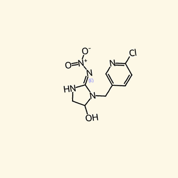 O=[N+]([O-])/N=C1\NCC(O)N1Cc1ccc(Cl)nc1